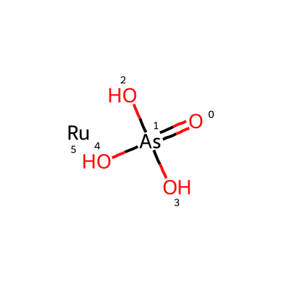 O=[As](O)(O)O.[Ru]